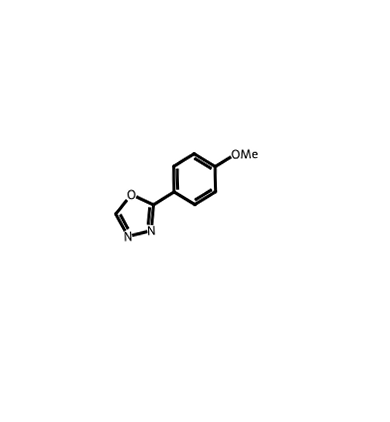 [CH2]Oc1ccc(-c2nnco2)cc1